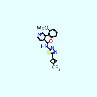 COc1ccccc1-c1cnccc1C(=O)Nc1nnc(C23CC(C(F)(F)F)(C2)C3)s1